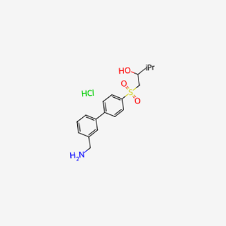 CC(C)C(O)CS(=O)(=O)c1ccc(-c2cccc(CN)c2)cc1.Cl